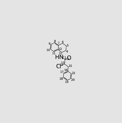 O=C(NC1CCCc2ccccc21)C(Cl)Cc1ccccc1